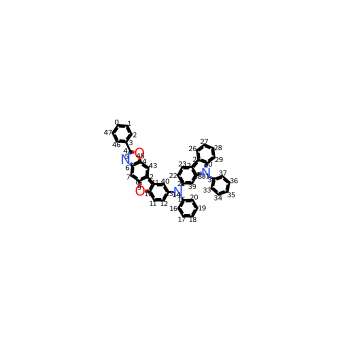 c1ccc(-c2nc3cc4oc5ccc(N(c6ccccc6)c6ccc7c8ccccc8n(-c8ccccc8)c7c6)cc5c4cc3o2)cc1